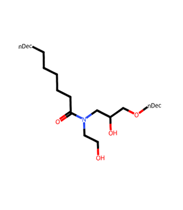 CCCCCCCCCCCCCCCC(=O)N(CCO)CC(O)COCCCCCCCCCC